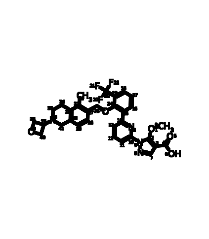 COc1c(C(=O)O)cnn1-c1cccc(-c2cccc(C(F)(F)F)c2OCc2ccc3c(c2C)CCN(C2COC2)C3)n1